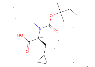 CCC(C)(C)OC(=O)N(C)[C@@H](CC1CC1)C(=O)O